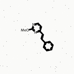 COc1nccc(C=Cc2ccccc2)n1